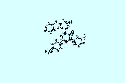 O=C(N[C@@H](CO)Cc1ccccc1)c1cc(-c2ccc(C(F)(F)F)cc2)nn(-c2cccc(F)c2)c1=O